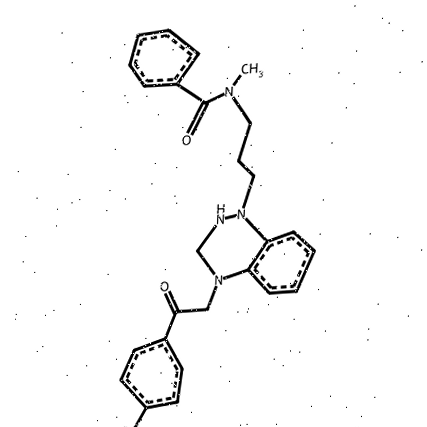 CN(CCCN1NCN(CC(=O)c2ccc(Br)cc2)c2ccccc21)C(=O)c1ccccc1